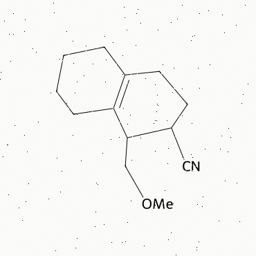 COCC1C2=C(CCCC2)CCC1C#N